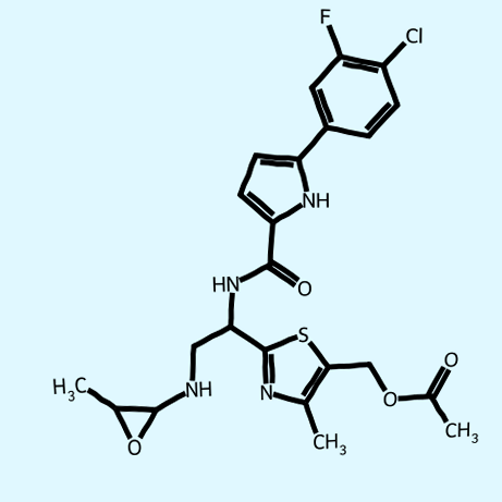 CC(=O)OCc1sc(C(CNC2OC2C)NC(=O)c2ccc(-c3ccc(Cl)c(F)c3)[nH]2)nc1C